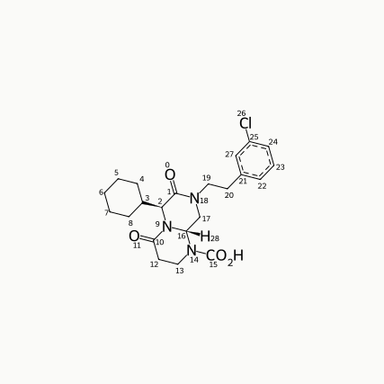 O=C1[C@H](C2CCCCC2)N2C(=O)CCN(C(=O)O)[C@H]2CN1CCc1cccc(Cl)c1